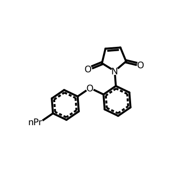 CCCc1ccc(Oc2ccccc2N2C(=O)C=CC2=O)cc1